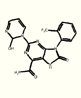 NC(=O)c1nc(N2C=CC=NC2O)nc2c1[nH]c(=O)n2-c1ccccc1C(F)(F)F